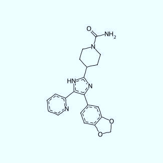 NC(=O)N1CCC(c2nc(-c3ccc4c(c3)OCO4)c(-c3ccccn3)[nH]2)CC1